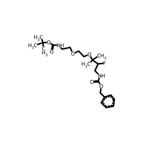 CC(C)(C)OC(=O)NCCOCCOC(C)(C)C(F)CNC(=O)OCc1ccccc1